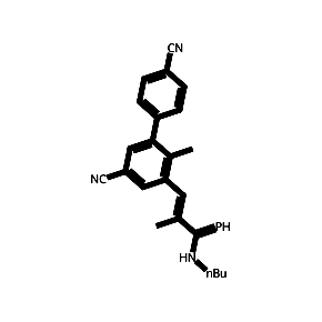 CCCCNC(=P)/C(C)=C/c1cc(C#N)cc(-c2ccc(C#N)cc2)c1C